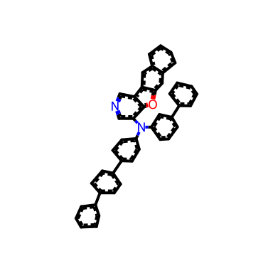 c1ccc(-c2ccc(-c3ccc(N(c4cccc(-c5ccccc5)c4)c4cncc5c4oc4cc6ccccc6cc45)cc3)cc2)cc1